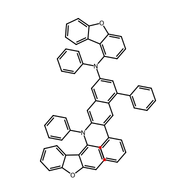 c1ccc(-c2cc3c(-c4ccccc4)cc(N(c4ccccc4)c4cccc5oc6ccccc6c45)cc3cc2N(c2ccccc2)c2cccc3oc4ccccc4c23)cc1